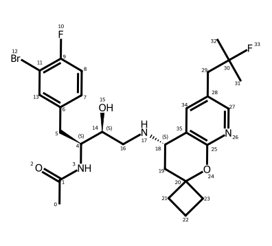 CC(=O)N[C@@H](Cc1ccc(F)c(Br)c1)[C@@H](O)CN[C@H]1CC2(CCC2)Oc2ncc(CC(C)(C)F)cc21